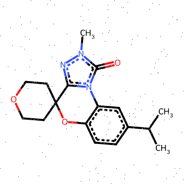 CC(C)c1ccc2c(c1)-n1c(nn(C)c1=O)C1(CCOCC1)O2